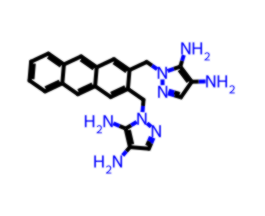 Nc1cnn(Cc2cc3cc4ccccc4cc3cc2Cn2ncc(N)c2N)c1N